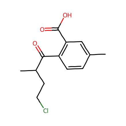 Cc1ccc(C(=O)C(C)CCCl)c(C(=O)O)c1